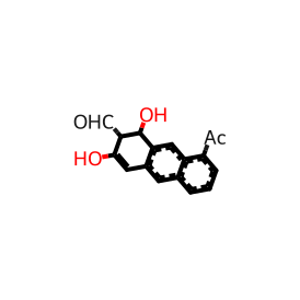 CC(=O)c1cccc2cc3c(cc12)C(O)C(C=O)C(O)=C3